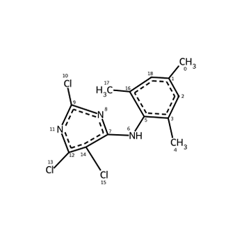 Cc1cc(C)c(Nc2nc(Cl)nc(Cl)c2Cl)c(C)c1